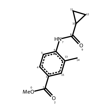 COC(=O)c1ccc(NC(=O)C2CC2)c(C)c1